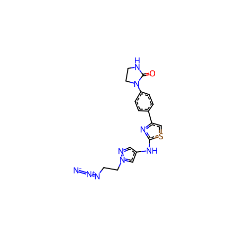 [N-]=[N+]=NCCn1cc(Nc2nc(-c3ccc(N4CCNC4=O)cc3)cs2)cn1